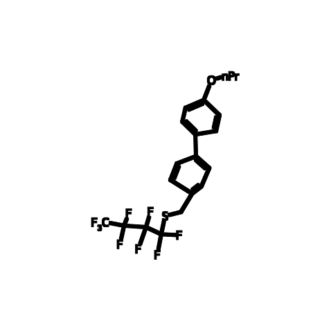 CCCOc1ccc(-c2ccc(CSC(F)(F)C(F)(F)C(F)(F)C(F)(F)F)cc2)cc1